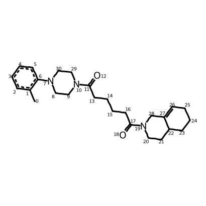 Cc1ccccc1N1CCN(C(=O)CCCCC(=O)N2CCC3CCCC=C3C2)CC1